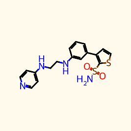 NS(=O)(=O)c1sccc1-c1cccc(NCCNc2ccncc2)c1